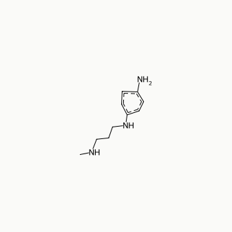 CNCCCNc1ccc(N)cc1